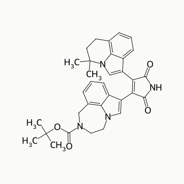 CC(C)(C)OC(=O)N1CCn2cc(C3=C(c4cn5c6c(cccc46)CCC5(C)C)C(=O)NC3=O)c3cccc(c32)C1